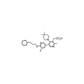 Cc1ncc(-c2cnc(OCCCc3ccccc3)c(F)c2)c(N2CCC(C)(C)CC2)c1CC(=O)O